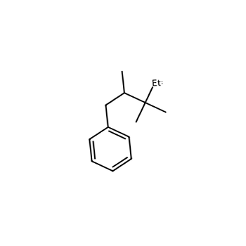 C[C]C(C)(C)C(C)Cc1ccccc1